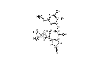 C=Cc1cc(Cl)c(F)c(CNC(=O)[C@@H]2C[C@@H](F)CN2C(=O)OC(C)(C)C)c1